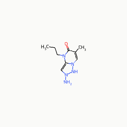 CCCN1C(=O)C(C)=CN2NN(N)C=C21